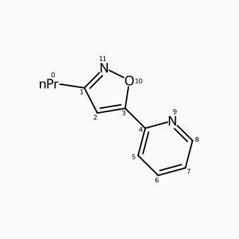 CCCc1cc(-c2ccccn2)on1